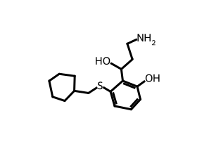 NCCC(O)c1c(O)cccc1SCC1CCCCC1